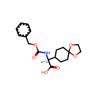 C[C@@](NC(=O)OCc1ccccc1)(C(=O)O)C1CCC2(CC1)OCCO2